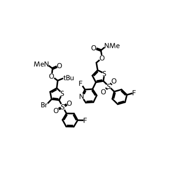 CNC(=O)OC(c1cc(Br)c(S(=O)(=O)c2cccc(F)c2)s1)C(C)(C)C.CNC(=O)OCc1cc(-c2cccnc2F)c(S(=O)(=O)c2cccc(F)c2)s1